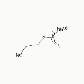 CN[PH](=S)OCCC#N